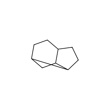 C1CC2CCC3C1CC23